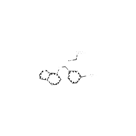 CNCC[C@@H](Oc1cccc2ccsc12)c1cccc(OC)c1